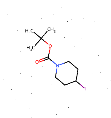 CC(C)(C)OC(=O)N1CCC(I)CC1